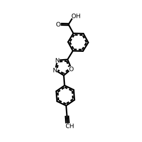 C#Cc1ccc(-c2nnc(-c3cccc(C(=O)O)c3)o2)cc1